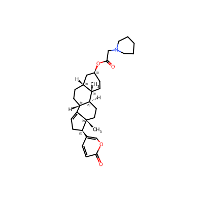 C[C@]12CC[C@H](OC(=O)CN3CCCCC3)C[C@H]1CC[C@H]1C3=CC[C@H](c4ccc(=O)oc4)[C@@]3(C)CC[C@@H]12